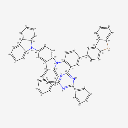 c1ccc(-c2nc(-c3ccccc3)nc(-c3cc(-c4ccc5sc6ccccc6c5c4)ccc3-n3c4ccccc4c4cc(-n5c6ccccc6c6ccccc65)ccc43)n2)cc1